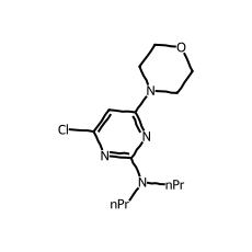 CCCN(CCC)c1nc(Cl)cc(N2CCOCC2)n1